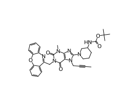 CC#CCn1c(N2CCCC(NC(=O)OC(C)(C)C)C2)nc2c1c(=O)n(CC1=Nc3ccccc3Oc3ccccc31)c(=O)n2C